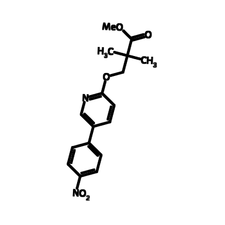 COC(=O)C(C)(C)COc1ccc(-c2ccc([N+](=O)[O-])cc2)cn1